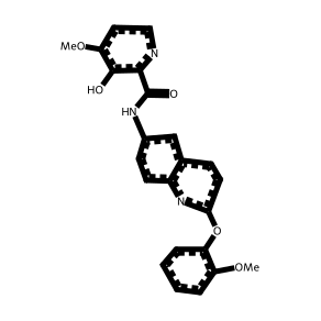 COc1ccccc1Oc1ccc2cc(NC(=O)c3nccc(OC)c3O)ccc2n1